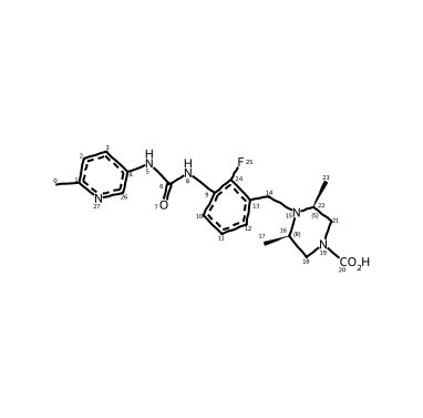 Cc1ccc(NC(=O)Nc2cccc(CN3[C@H](C)CN(C(=O)O)C[C@@H]3C)c2F)cn1